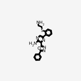 NCCSc1ccccc1-c1cnc(N)c(-c2nnc(-c3ccccc3)o2)n1